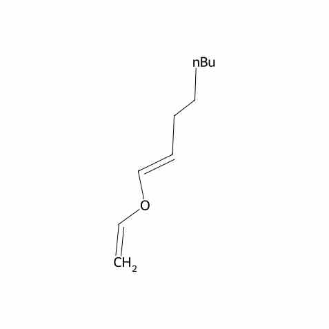 C=COC=CCCCCCC